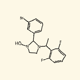 CC(c1c(F)cccc1F)N1CCN(O)C1c1cccc(Br)c1